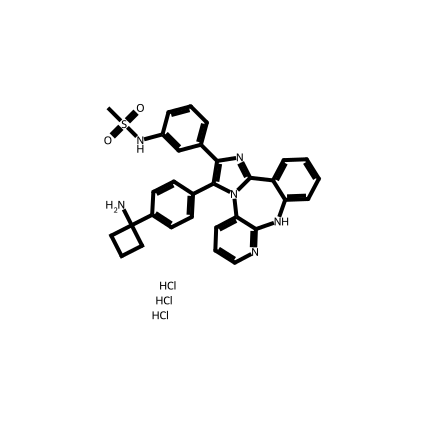 CS(=O)(=O)Nc1cccc(-c2nc3n(c2-c2ccc(C4(N)CCC4)cc2)-c2cccnc2Nc2ccccc2-3)c1.Cl.Cl.Cl